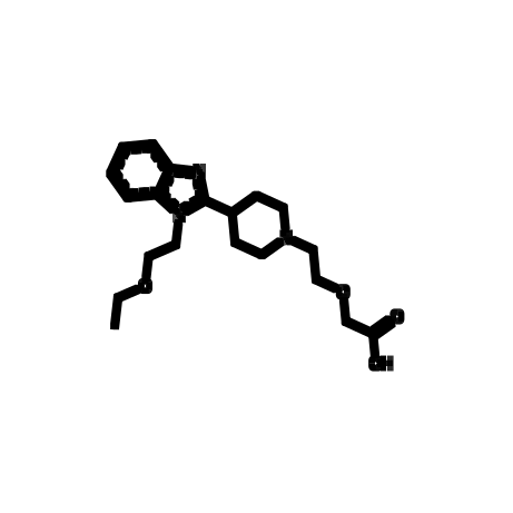 CCOCCn1c(C2CCN(CCOCC(=O)O)CC2)nc2ccccc21